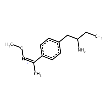 CCC(N)Cc1ccc(/C(C)=N\OC)cc1